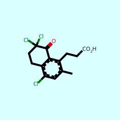 Cc1cc(Cl)c2c(c1CCC(=O)O)C(=O)C(Cl)(Cl)CC2